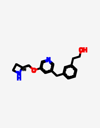 OCCc1cccc(Cc2cncc(OC[C@@H]3CCN3)c2)c1